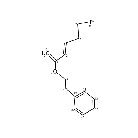 C=C(/C=C/CCC(C)C)OCCc1ccccc1